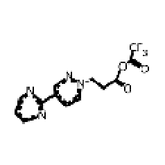 O=C(CC[n+]1ccc(-c2ncccn2)cn1)OC(=O)C(F)(F)F